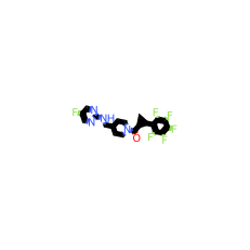 O=C(C1CC1c1c(F)c(F)c(F)c(F)c1F)N1CCC(CNc2ncc(F)cn2)CC1